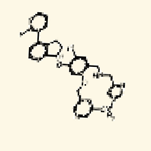 Cn1cnc(CNCc2cc(Cl)c(O[C@H]3CCc4c(-c5ccccc5F)cccc43)cc2OCc2cncc(C#N)c2)c1